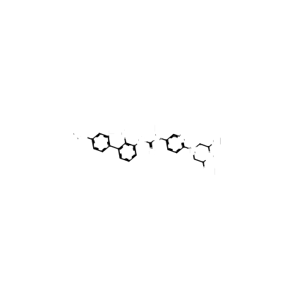 Cc1c(OC(=O)Nc2ccc(N3CC(C)OC(C)C3)nc2)cccc1-c1ccc(C#N)cc1